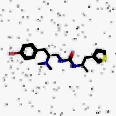 C[C@@H](Cc1ccsc1)NC(=O)NC[C@@H](Cc1ccc(O)cc1)N(C)C